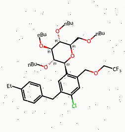 CCCCOC[C@H]1O[C@@H](c2cc(Cc3ccc(CC)cc3)c(Cl)cc2COCC(F)(F)F)[C@H](OCCCC)[C@@H](OCCCC)[C@@H]1OCCCC